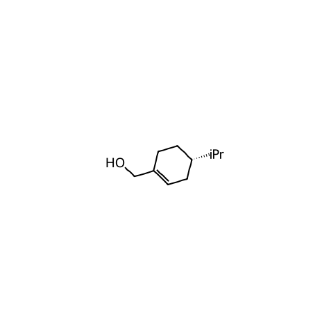 CC(C)[C@@H]1CC=C(CO)CC1